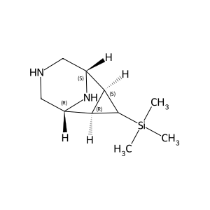 C[Si](C)(C)C1[C@@H]2[C@H]1[C@H]1CNC[C@@H]2N1